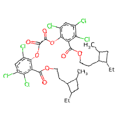 CCC1CC(C)C1CCOC(=O)c1c(Cl)c(Cl)cc(Cl)c1OC(=O)C(=O)Oc1c(Cl)cc(Cl)c(Cl)c1C(=O)OCCC1C(C)CC1CC